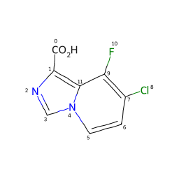 O=C(O)c1ncn2ccc(Cl)c(F)c12